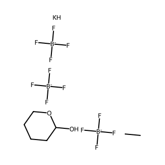 CC.F[B-](F)(F)F.F[B-](F)(F)F.F[B-](F)(F)F.OC1CCCCO1.[KH]